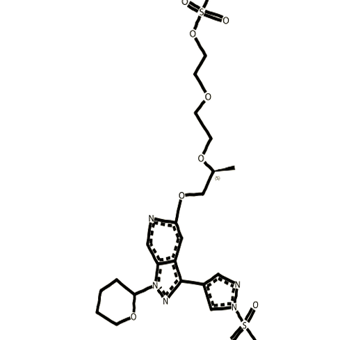 C[C@@H](COc1cc2c(-c3cnn(S(C)(=O)=O)c3)nn(C3CCCCO3)c2cn1)OCCOCCOS(C)(=O)=O